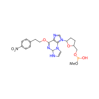 COP(O)OCC1CCC(n2cnc3c2N2C=CNC2N=C3OCCc2ccc([N+](=O)[O-])cc2)O1